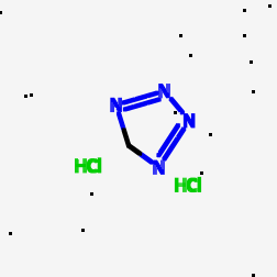 C1N=NN=N1.Cl.Cl